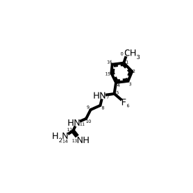 Cc1ccc(C(F)NCCCNC(=N)N)cc1